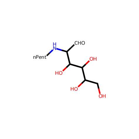 CCCCCNC(C=O)C(O)C(O)C(O)CO